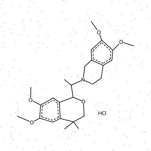 COc1cc2c(cc1OC)CN(C(C)C1OCC(C)(C)c3cc(OC)c(OC)cc31)CC2.Cl